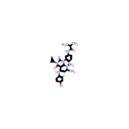 CC(C)C(=O)Nc1cccc(-n2c3c(c(=O)n(C4CC4)c2=O)C(Nc2ccc(Br)cc2F)=CC(C)N3C)c1